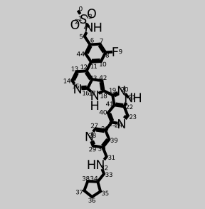 CS(=O)(=O)NCc1cc(F)cc(-c2ccnc3[nH]c(-c4n[nH]c5cnc(-c6cncc(CNCC7CCCC7)c6)cc45)cc23)c1